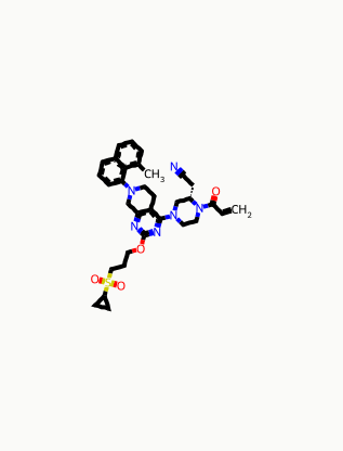 C=CC(=O)N1CCN(c2nc(OCCCS(=O)(=O)C3CC3)nc3c2CCN(c2cccc4cccc(C)c24)C3)C[C@@H]1CC#N